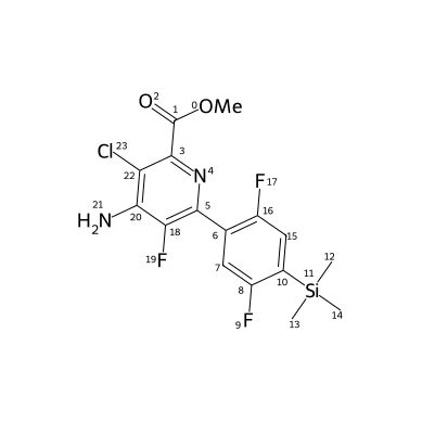 COC(=O)c1nc(-c2cc(F)c([Si](C)(C)C)cc2F)c(F)c(N)c1Cl